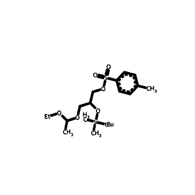 CCOC(C)OCC(COS(=O)(=O)c1ccc(C)cc1)O[Si](C)(C)C(C)(C)C